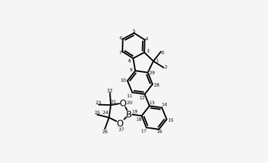 CC1(C)c2ccccc2-c2ccc(-c3ccccc3B3OC(C)(C)C(C)(C)O3)cc21